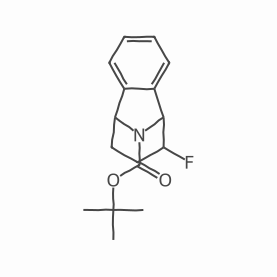 CC(C)(C)OC(=O)N1C2CCC(F)C1c1ccccc12